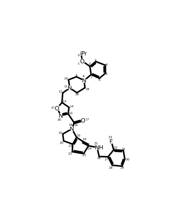 CC(C)Oc1ccccc1N1CCN(CC2CC(C(=O)N3CCc4ccc(NCc5ccccc5F)cc43)=NO2)CC1